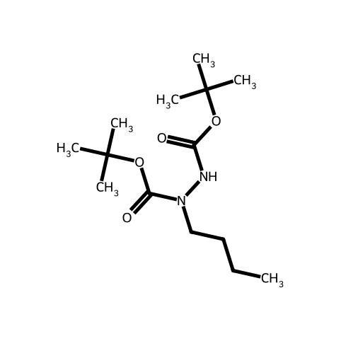 CCCCN(NC(=O)OC(C)(C)C)C(=O)OC(C)(C)C